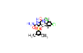 Cc1cc(C)cc(S(=O)(=O)c2c(C(N)=O)[nH]c(C(=O)N(C)Cc3ccc(Cl)cc3Cl)c2C)c1